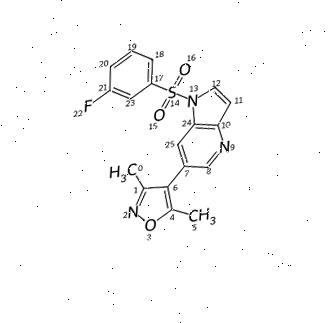 Cc1noc(C)c1-c1cnc2ccn(S(=O)(=O)c3cccc(F)c3)c2c1